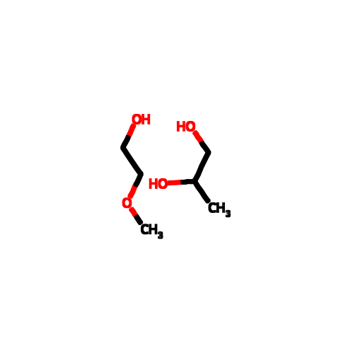 CC(O)CO.COCCO